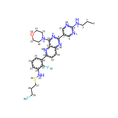 CCCNc1ncc(-c2nc(N3CCOCC3)c3nc(-c4cccc(NSCCCF)c4F)ccc3n2)cn1